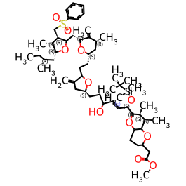 C=C1C[C@H](CCC(O)/C=C/[C@H](O[Si](C)(C)C(C)(C)C)[C@@H]2OC3CCC(CC(=O)OC)OC3[C@H](C)[C@@H]2C)OC1CC[C@H]1C[C@@H](C)C(=C)[C@@H](CC2O[C@H](C[C@H](C)CC)[C@H](C)[C@H]2CS(=O)(=O)c2ccccc2)O1